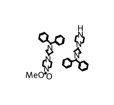 COC(=O)N1CCN(C2CN(C(c3ccccc3)c3ccccc3)C2)CC1.c1ccc(C(c2ccccc2)N2CC(N3CCNCC3)C2)cc1